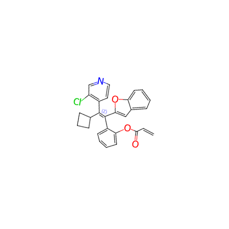 C=CC(=O)Oc1ccccc1/C(=C(/c1ccncc1Cl)C1CCC1)c1cc2ccccc2o1